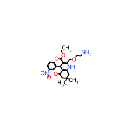 CCOC(=O)C1=C(COCCN)NC2=C(C(=O)CC(C)(C)C2)C1c1cccc([N+](=O)[O-])c1